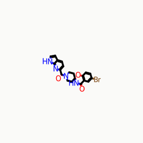 O=C1NC2(CCN(C(=O)c3ccc4cc[nH]c4n3)CC2)Oc2ccc(Br)cc21